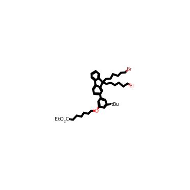 CCOC(=O)CCCCCCOc1cc(-c2ccc3c(c2)C(CCCCCCBr)(CCCCCCBr)c2ccccc2-3)cc(C(C)(C)C)c1